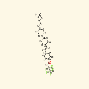 CCCCC[C@H]1CC[C@H]([C@H]2CC[C@H](C=Cc3ccc(OCC(F)(F)C(F)(F)F)cc3)CC2)CC1